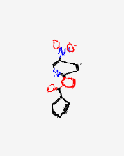 O=C(Oc1c[c]c([N+](=O)[O-])cn1)c1ccccc1